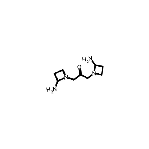 NC1CCN1CC(=O)CN1CCC1N